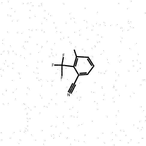 Cc1cccc(C#N)c1C(F)(F)F